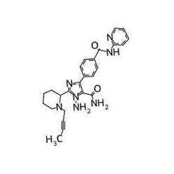 CC#CCN1CCCCC1c1nc(-c2ccc(C(=O)Nc3ccccn3)cc2)c(C(N)=O)n1N